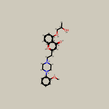 COc1ccccc1N1CCN(CCc2cc(=O)c3c(OCC(C)O)cccc3o2)CC1